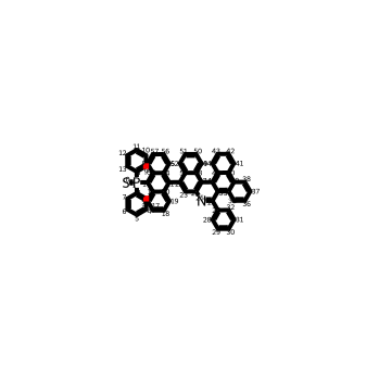 S=P(c1ccccc1)(c1ccccc1)c1c2ccccc2c(-c2cc3nc(-c4ccccc4)c4c5ccccc5c5ccccc5c4c3c3ccccc23)c2ccccc12